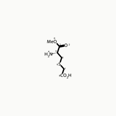 COC(=O)[C@@H](N)CSCC(=O)O